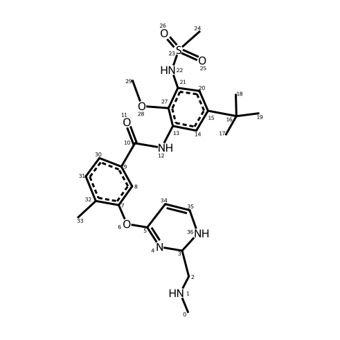 CNCC1N=C(Oc2cc(C(=O)Nc3cc(C(C)(C)C)cc(NS(C)(=O)=O)c3OC)ccc2C)C=CN1